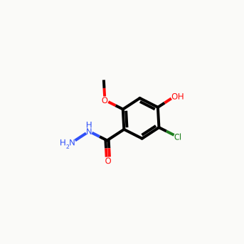 COc1cc(O)c(Cl)cc1C(=O)NN